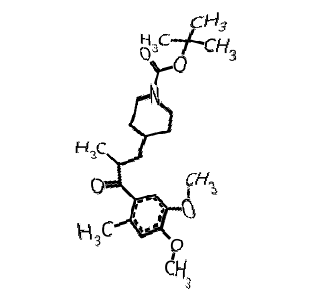 COc1cc(C)c(C(=O)C(C)CC2CCN(C(=O)OC(C)(C)C)CC2)cc1OC